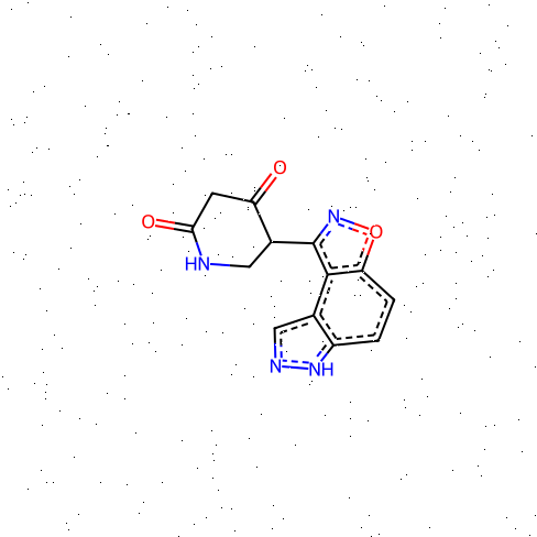 O=C1CC(=O)C(c2noc3ccc4[nH]ncc4c23)CN1